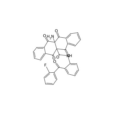 NC12C(=O)c3ccccc3C(=O)C1(C(=O)Nc1ccccc1C(=O)c1ccccc1F)C(=O)c1ccccc1C2=O